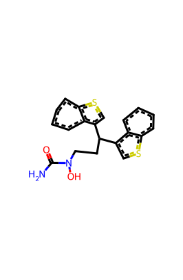 NC(=O)N(O)CCC(c1csc2ccccc12)c1csc2ccccc12